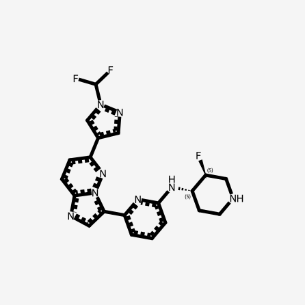 FC(F)n1cc(-c2ccc3ncc(-c4cccc(N[C@H]5CCNC[C@@H]5F)n4)n3n2)cn1